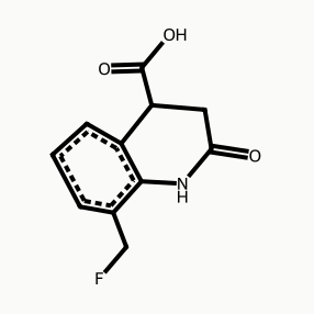 O=C1CC(C(=O)O)c2cccc(CF)c2N1